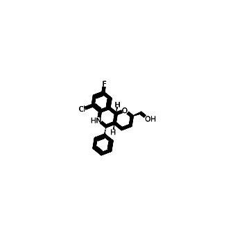 OC[C@H]1CC[C@@H]2[C@H](O1)c1cc(F)cc(Cl)c1N[C@H]2c1ccccc1